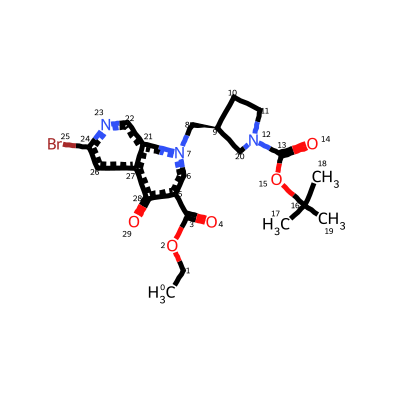 CCOC(=O)c1cn(C[C@H]2CCN(C(=O)OC(C)(C)C)C2)c2cnc(Br)cc2c1=O